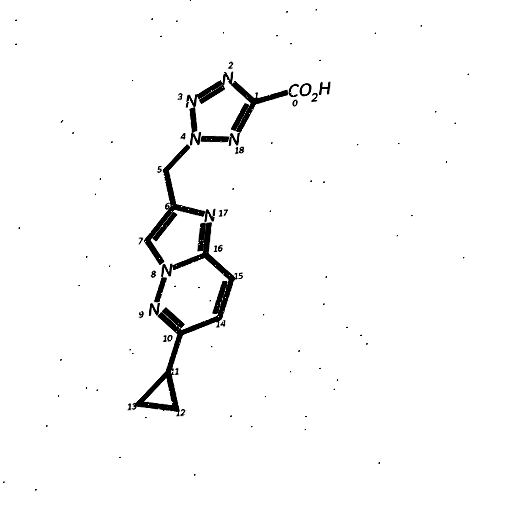 O=C(O)c1nnn(Cc2cn3nc(C4CC4)ccc3n2)n1